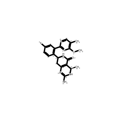 COc1nc(-c2cc(F)ccc2C2CC3=C(C(=O)N2)[C@@H](C)NC(N)=N3)ncc1C